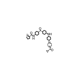 Cn1cccc1C(=O)Nc1ccc(C(=O)c2ccc(Nc3ccc(N4CCN(C(=O)C5CC5)CC4)cc3)cc2)cc1